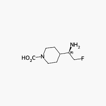 N[C@@H](CF)C1CCN(C(=O)O)CC1